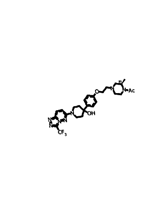 CC(=O)N1CCN(CCOc2ccc(C3(O)CCN(c4ccc5nnc(C(F)(F)F)n5n4)CC3)cc2)C[C@H]1C